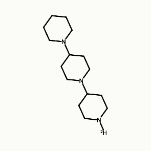 [2H]N1CCC(N2CCC(N3CCCCC3)CC2)CC1